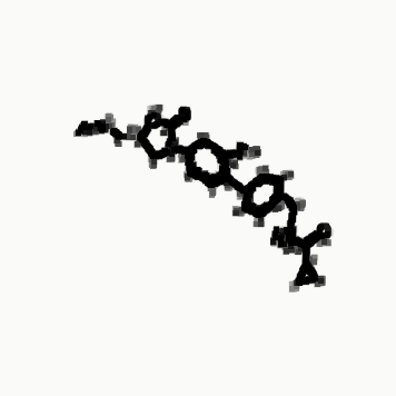 CC(=O)NC[C@H]1CN(c2ccc(-c3ccc(CNC(=O)C4CC4)cc3)c(F)c2)C(=O)O1